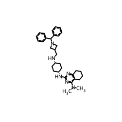 CN(C)c1nc(N[C@H]2CC[C@@H](NCC3CN(C(c4ccccc4)c4ccccc4)C3)CC2)nc2c1CCCC2